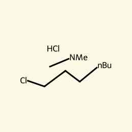 CCCCCCCCl.CNC.Cl